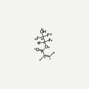 CC=C(C)C(=O)OC(F)(F)C(O)(F)F